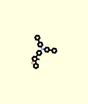 CC1C(c2ccc(N(c3ccc(-c4ccccc4)cc3)c3ccc(-c4ccccc4)cc3)cc2)=CC=C2Oc3ccccc3C21